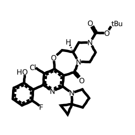 CC(C)(C)OC(=O)N1CCN2C(=O)c3c(N4CCCC45CC5)nc(-c4c(O)cccc4F)c(Cl)c3OC[C@H]2C1